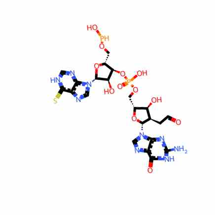 Nc1nc2c(ncn2[C@@H]2O[C@H](COP(=O)(O)O[C@H]3[C@@H](O)[C@H](n4cnc5c(=S)[nH]cnc54)O[C@@H]3COPO)[C@@H](O)[C@H]2CC=O)c(=O)[nH]1